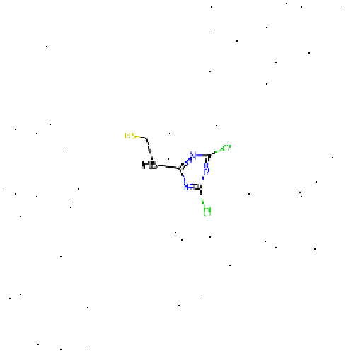 SCBc1nc(Cl)nc(Cl)n1